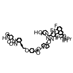 CCc1c(F)ccc2cc(O[Si](C(C)C)(C(C)C)C(C)C)cc(-c3ncc4c(N5CCC[C@@](C)(O)C5)nc(OC[C@@]56CCCN5[C@H](COC(=O)N5CCC(OCCC#Cc7cccc8c7n(C)c(=O)n8C7CCC(=O)NC7=O)CC5)CC6)nc4c3F)c12